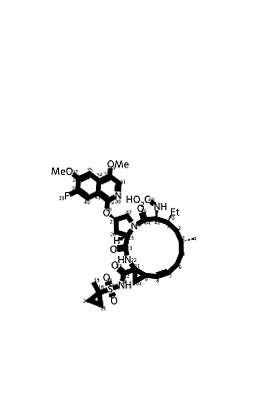 CC[C@@H]1C[C@H](C)CC/C=C\C2CC2(C(=O)NS(=O)(=O)C2(C)CC2)NC(=O)[C@@H]2C[C@@H](Oc3ncc(OC)c4cc(OC)c(F)cc34)CN2C(=O)[C@H]1NC(=O)O